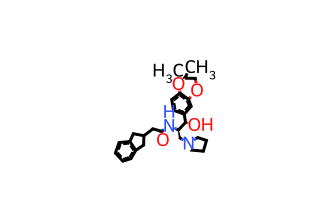 CC1(C)COc2cc([C@@H](O)[C@@H](CN3CCCC3)NC(=O)CC3Cc4ccccc4C3)ccc2O1